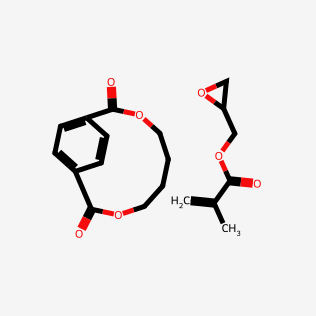 C=C(C)C(=O)OCC1CO1.O=C1OCCCCOC(=O)c2ccc1cc2